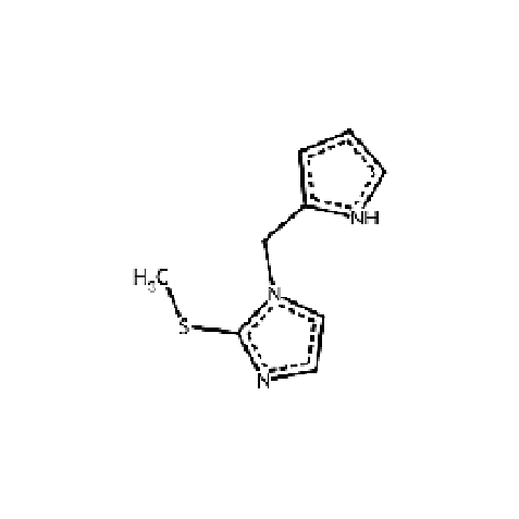 CSc1nccn1Cc1ccc[nH]1